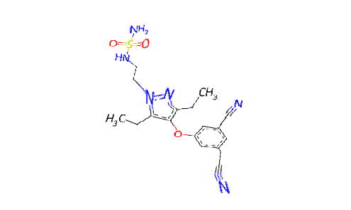 CCc1nn(CCNS(N)(=O)=O)c(CC)c1Oc1cc(C#N)cc(C#N)c1